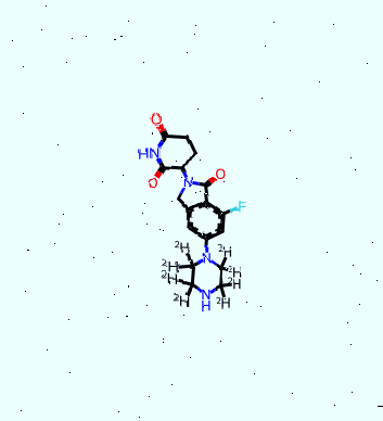 [2H]C1([2H])NC([2H])([2H])C([2H])([2H])N(c2cc(F)c3c(c2)CN(C2CCC(=O)NC2=O)C3=O)C1([2H])[2H]